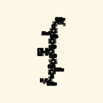 [C-]#[N+]C(C#N)=C1Sc2c(OC(=O)c3ccc(OC(=O)c4ccc(OCCC(C)OC)cc4OC)cc3)ccc(OC(=O)c3ccc(OC(=O)c4ccc(OCCC(C)OC)cc4OC)cc3)c2S1